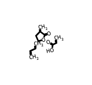 C=C1CCOC1=O.C=CC(=O)O.C=CC=C